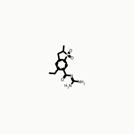 CCc1cc2c(cc1C(=O)N=C(N)N)S(=O)(=O)C(C)C2